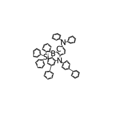 c1ccc(-c2ccc(N3c4ccc(N(c5ccccc5)c5ccccc5)cc4B4c5ccccc5[Si](c5ccccc5)(c5ccccc5)c5cc(-c6ccccc6)cc3c54)cc2)cc1